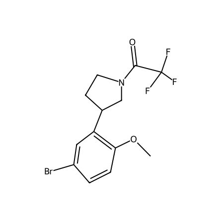 COc1ccc(Br)cc1C1CCN(C(=O)C(F)(F)F)C1